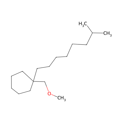 COCC1(CCCCCCC(C)C)CCCCC1